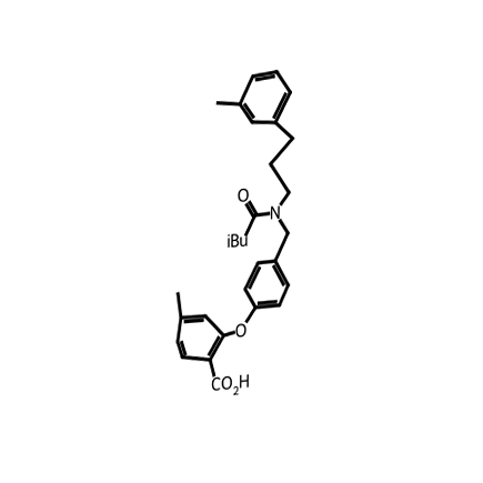 CCC(C)C(=O)N(CCCc1cccc(C)c1)Cc1ccc(Oc2cc(C)ccc2C(=O)O)cc1